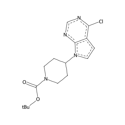 CC(C)(C)OC(=O)N1CCC(n2ccc3c(Cl)ncnc32)CC1